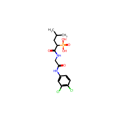 CC(C)CC(C(=O)NCC(=O)Nc1ccc(Cl)c(Cl)c1)P(=O)(O)O